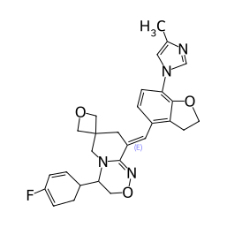 Cc1cn(-c2ccc(/C=C3\CC4(COC4)CN4C3=NOCC4C3C=CC(F)=CC3)c3c2OCC3)cn1